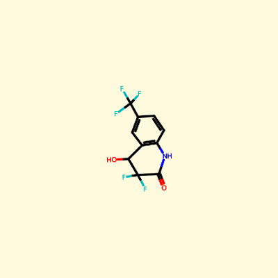 O=C1Nc2ccc(C(F)(F)F)cc2C(O)C1(F)F